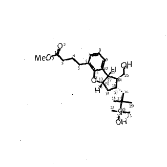 COC(=O)CCCc1cccc2c1O[C@H]1C[C@@H](CC(C)(C)[Si](C)(C)O)[C@H](CO)[C@@H]21